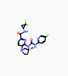 O=C(N[C@@H]1CC1(F)F)c1ccc2c(n1)N(C(=O)Nc1ccc(F)cn1)[C@H]1CCN2C1